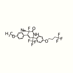 COc1ccc(C2=CC(c3ccc(OCCCC(F)(F)F)cc3)(C(F)(F)F)NC(=O)C2(F)C#N)cc1